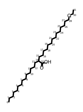 CCCCCCCCCCCCCCC(CCCCCCCCCCCCCCOCC)C(=O)O